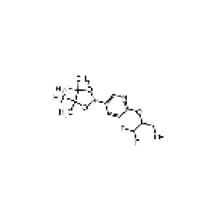 CCC(Oc1ccc(B2OC(C)(C)C(C)(C)O2)cn1)C(F)F